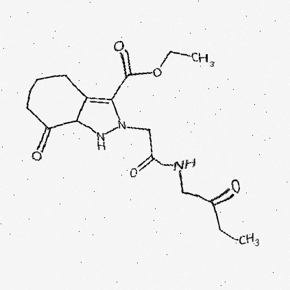 CCOC(=O)C1=C2CCCC(=O)C2NN1CC(=O)NCC(=O)CC